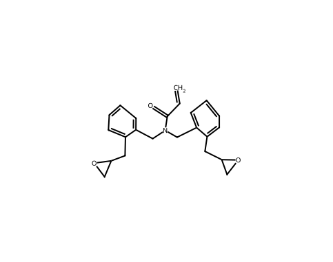 C=CC(=O)N(Cc1ccccc1CC1CO1)Cc1ccccc1CC1CO1